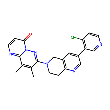 Cc1c(N2CCc3ncc(-c4cnccc4Cl)cc3C2)nn2c(=O)ccnc2c1C